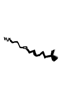 CC(C)CCCCCOCCCN